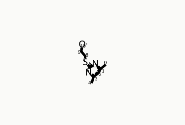 Cc1cc(C)nc(SCC[O])n1